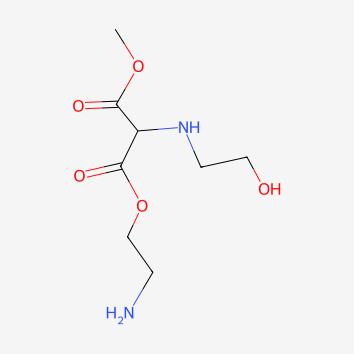 COC(=O)C(NCCO)C(=O)OCCN